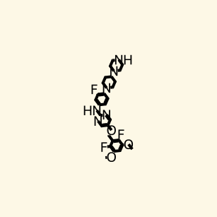 COc1cc(OC)c(F)c(COc2cnc(Nc3ccc(N4CCC(N5CCNCC5)CC4)c(F)c3)nc2)c1F